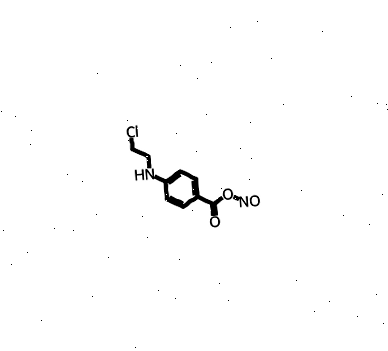 O=NOC(=O)c1ccc(NCCCl)cc1